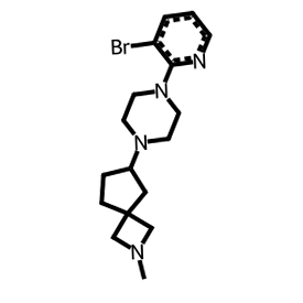 CN1CC2(CCC(N3CCN(c4ncccc4Br)CC3)C2)C1